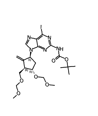 C=C1[C@H](COCOC)[C@@H](OCOC)C[C@@H]1n1cnc2c(I)nc(NC(=O)OC(C)(C)C)nc21